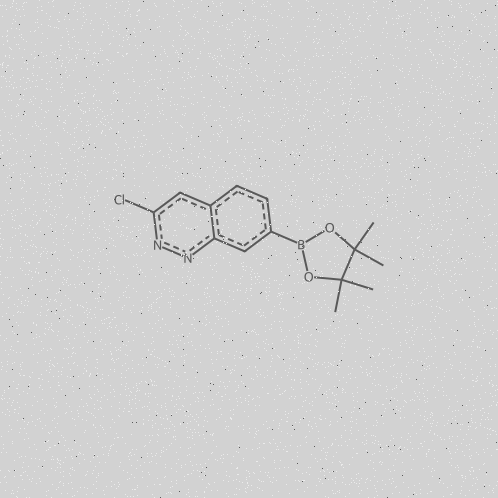 CC1(C)OB(c2ccc3cc(Cl)nnc3c2)OC1(C)C